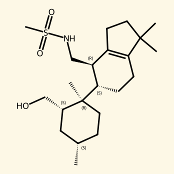 C[C@H]1CC[C@](C)([C@H]2CCC3=C(CCC3(C)C)[C@@H]2CNS(C)(=O)=O)[C@@H](CO)C1